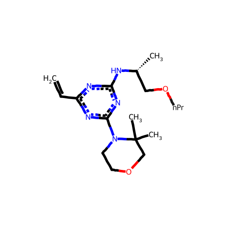 C=Cc1nc(N[C@H](C)COCCC)nc(N2CCOCC2(C)C)n1